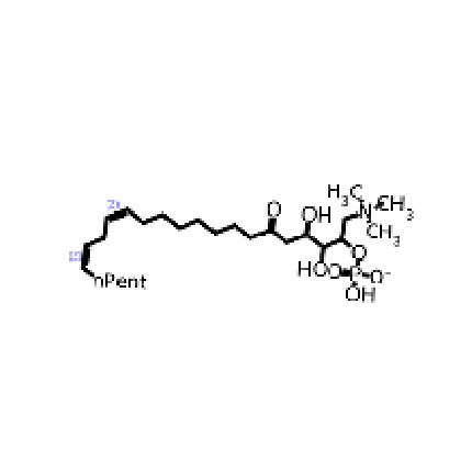 CCCCC/C=C\C/C=C\CCCCCCCC(=O)CC(O)C(O)C(C[N+](C)(C)C)OP(=O)([O-])O